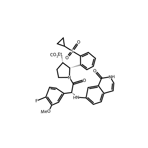 CCOC(=O)[C@H]1CCN(C(=O)[C@H](Nc2ccc3cc[nH]c(=O)c3c2)c2ccc(F)c(OC)c2)[C@H]1c1ccccc1S(=O)(=O)C1CC1